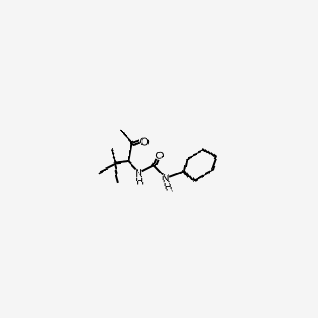 CC(=O)C(NC(=O)NC1CCCCC1)C(C)(C)C